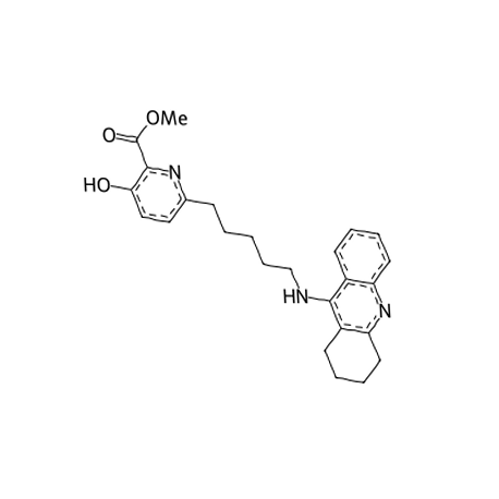 COC(=O)c1nc(CCCCCNc2c3c(nc4ccccc24)CCCC3)ccc1O